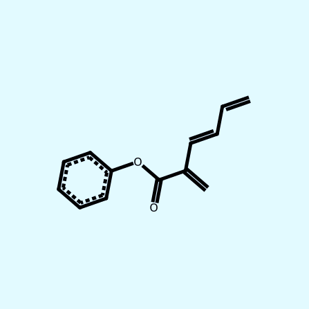 C=CC=CC(=C)C(=O)Oc1ccccc1